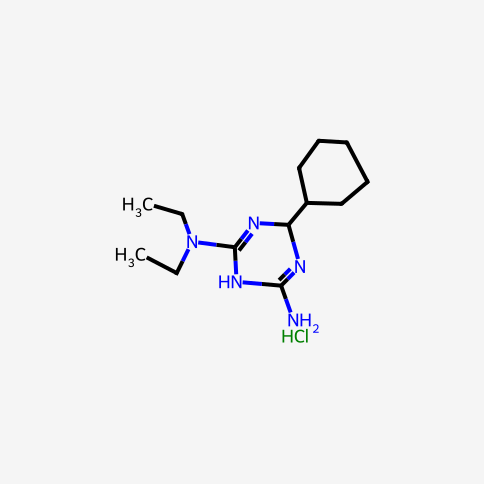 CCN(CC)C1=NC(C2CCCCC2)N=C(N)N1.Cl